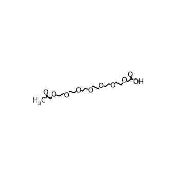 CC(=O)COCCOCCOCCOCCOCCOCCOCC(=O)O